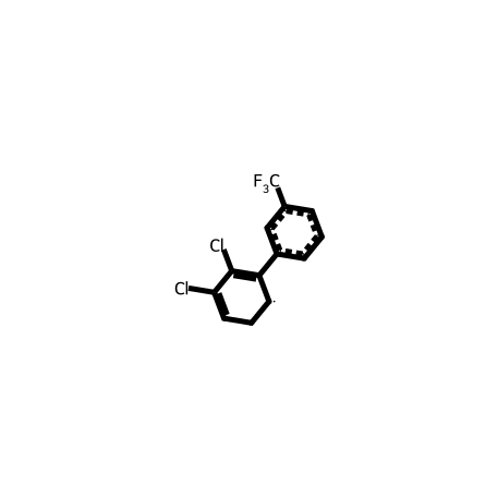 FC(F)(F)c1cccc(C2=C(Cl)C(Cl)=CC[CH]2)c1